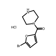 Cl.O=C(c1ccc(Br)o1)N1CCNCC1